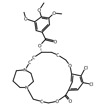 COc1cc(C(=O)O[C@@H]2CCCOc3cc(cc(Cl)c3Cl)C(=O)OCCCN3CCCN(CC2)CC3)cc(OC)c1OC